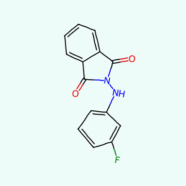 O=C1c2ccccc2C(=O)N1Nc1cccc(F)c1